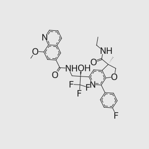 CCNC(=O)[C@@]1(C)COc2c1cc([C@@](O)(CNC(=O)c1cc(OC)c3ncccc3c1)C(F)(F)F)nc2-c1ccc(F)cc1